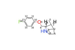 C[C@H]1C2CC(C2)N[C@@H]1COc1ccc(F)cc1